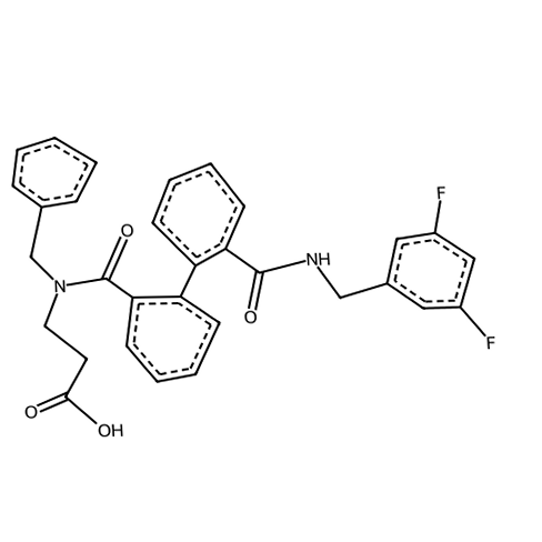 O=C(O)CCN(Cc1ccccc1)C(=O)c1ccccc1-c1ccccc1C(=O)NCc1cc(F)cc(F)c1